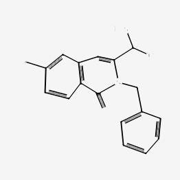 CC(C)C(N)c1cc2cc(Cl)ccc2c(=O)n1Cc1ccccc1